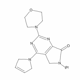 CC(C)N1Cc2c(nc(N3CCOCC3)nc2N2CC=CC2)C1=O